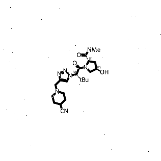 CNC(=O)[C@@H]1C[C@@H](O)CN1C(=O)[C@@H](n1cc(CN2CCC(C#N)CC2)nn1)C(C)(C)C